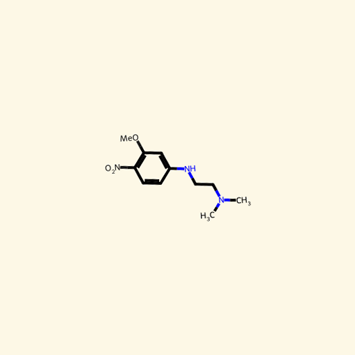 COc1cc(NCCN(C)C)ccc1[N+](=O)[O-]